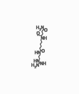 N=C(N)NCCCNC(=O)CCCCCNC([C]=O)CCC(N)=O